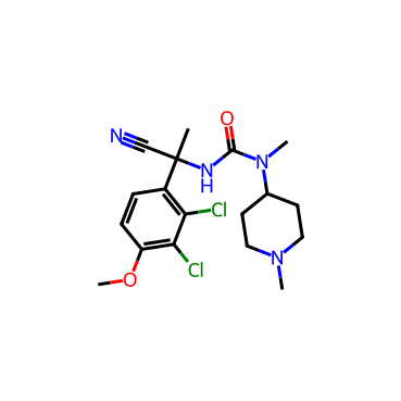 COc1ccc(C(C)(C#N)NC(=O)N(C)C2CCN(C)CC2)c(Cl)c1Cl